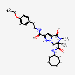 CCOc1ccc(CCNC(=O)c2cc3n(n2)CC(C)(C(=O)NC2CCCCCC2)N(C)C3=O)cc1